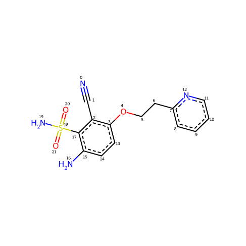 N#Cc1c(OCCc2ccccn2)ccc(N)c1S(N)(=O)=O